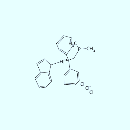 CP(C)C[C]([Hf+3][CH]1C=Cc2ccccc21)(c1ccccc1)c1ccccc1.[Cl-].[Cl-].[Cl-]